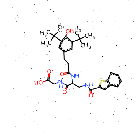 CC(C)(C)c1cc(CCC(=O)NC(CNC(=O)c2cc3ccccc3s2)C(=O)NCC(=O)O)cc(C(C)(C)C)c1O